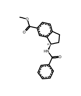 COC(=O)c1ccc2c(c1)[C@H](NC(=O)c1ccccc1)CC2